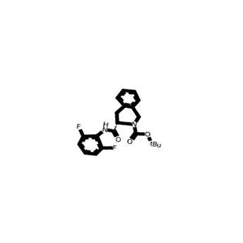 CC(C)(C)OC(=O)N1Cc2ccccc2C[C@H]1C(=O)Nc1c(F)cccc1F